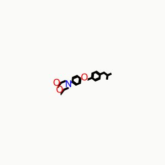 CC(C)Cc1ccc(COc2ccc(N(CC3CO3)CC3CO3)cc2)cc1